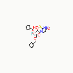 O=c1ccn(C2O[C@](CF)(COCc3ccccc3)[C@@H](OCc3ccccc3)[C@H]2O)c(=S)[nH]1